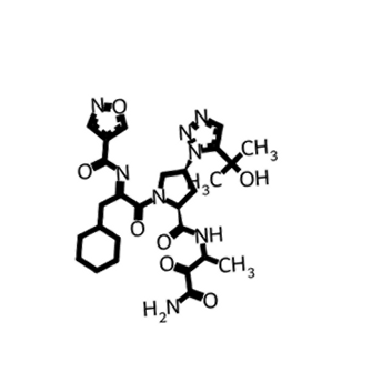 CC(NC(=O)[C@@H]1C[C@H](n2nncc2C(C)(C)O)CN1C(=O)/C(CC1CCCCC1)=N/C(=O)c1cnoc1)C(=O)C(N)=O